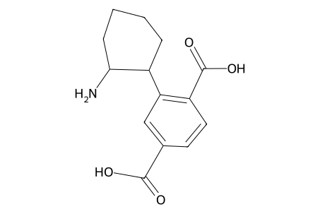 NC1CCCCC1c1cc(C(=O)O)ccc1C(=O)O